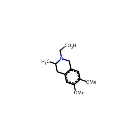 COc1cc2c(cc1OC)CN(CC(=O)O)C(C)C2